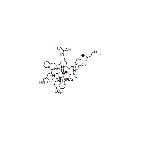 CCCC[C@H](NC(C)=O)C(=O)N[C@@H](CCC(=O)O)C(=O)N[C@@H](Cc1c[nH]cn1)C(=O)N[C@@H](Cc1ccccc1)C(=O)N[C@@H](CCCNC(=N)N)C(=O)N[C@@H](Cc1c[nH]c2ccccc12)C(=O)NCC(=O)N[C@@H](CCCCN)C(N)=O